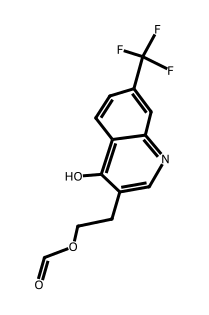 O=COCCc1cnc2cc(C(F)(F)F)ccc2c1O